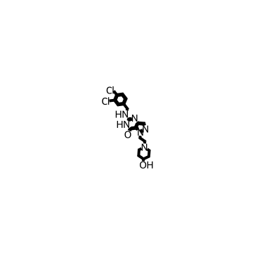 O=c1[nH]c(NCc2ccc(Cl)c(Cl)c2)nc2cnn(CCN3CCC(O)CC3)c12